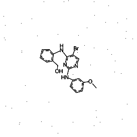 COc1cccc(Nc2ncc(Br)c(Nc3ccccc3CO)n2)c1